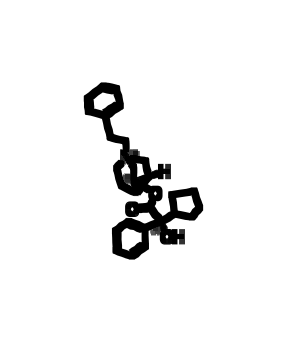 O=C(O[C@H]1C[N+]2(CCc3ccccc3)CCC1CC2)[C@@](O)(c1ccccc1)C1CCCC1